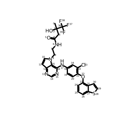 CC(O)(CC(=O)NCCn1ccc2ncnc(Nc3ccc(Oc4cccc5sccc45)c(Cl)c3)c21)C(F)(F)F